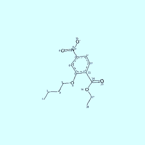 CCCCOc1cc([N+](=O)[O-])ccc1C(=O)OCC